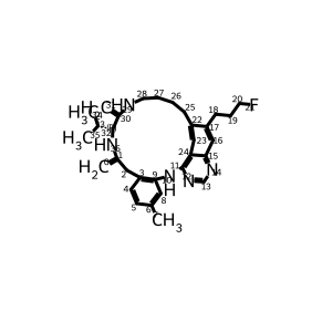 C=C1Cc2ccc(C)cc2Nc2ncnc3cc(CCCF)c(cc23)CCCCNC(=C)[C@@H](C(C)C)N1